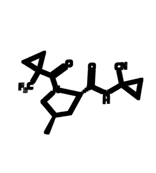 C[C@@H]1C[C@@H](C(=O)NC2(C#N)CC2)N(C(=O)C2(C(F)(F)F)CC2)C1